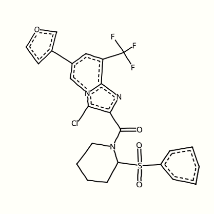 O=C(c1nc2c(C(F)(F)F)cc(-c3ccoc3)cn2c1Cl)N1CCCCC1S(=O)(=O)c1ccccc1